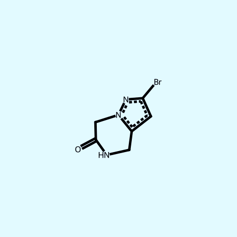 O=C1Cn2nc(Br)cc2CN1